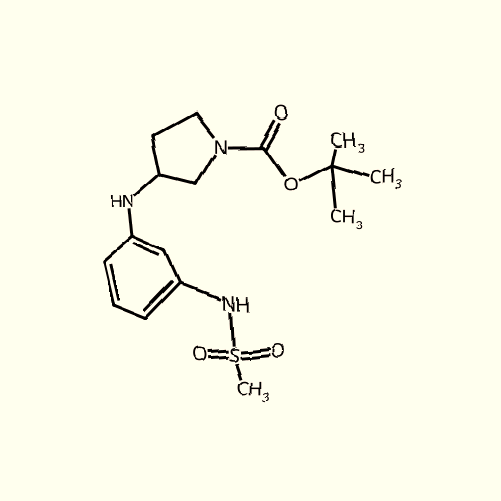 CC(C)(C)OC(=O)N1CCC(Nc2cccc(NS(C)(=O)=O)c2)C1